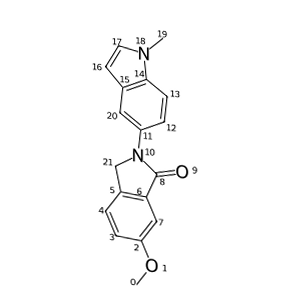 COc1ccc2c(c1)C(=O)N(c1ccc3c(ccn3C)c1)C2